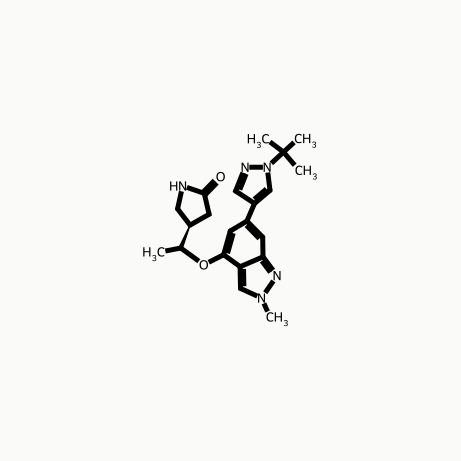 CC(Oc1cc(-c2cnn(C(C)(C)C)c2)cc2nn(C)cc12)[C@H]1CNC(=O)C1